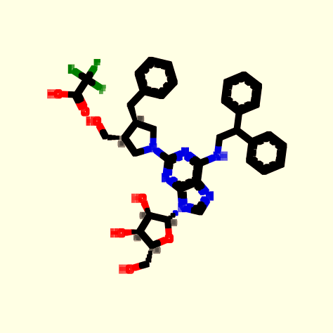 O=C(O)C(F)(F)F.OC[C@H]1CN(c2nc(NCC(c3ccccc3)c3ccccc3)c3ncn([C@@H]4O[C@H](CO)[C@@H](O)[C@H]4O)c3n2)C[C@@H]1Cc1ccccc1